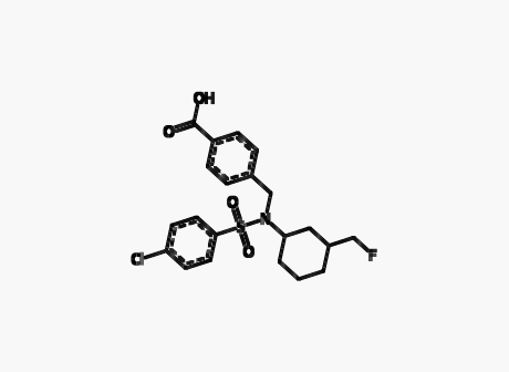 O=C(O)c1ccc(CN(C2CCCC(CF)C2)S(=O)(=O)c2ccc(Cl)cc2)cc1